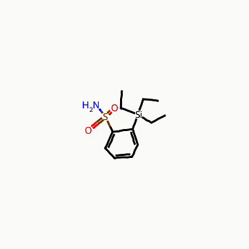 CC[Si](CC)(CC)c1ccccc1S(N)(=O)=O